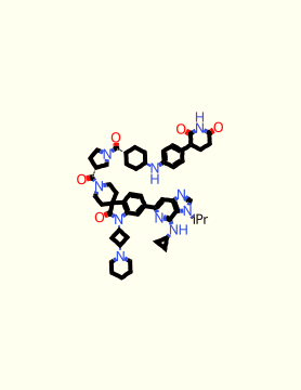 CC(C)n1cnc2cc(-c3ccc4c(c3)N([C@H]3C[C@@H](N5CCCCC5)C3)C(=O)C43CCN(C(=O)[C@@H]4CCN(C(=O)[C@H]5CC[C@H](Nc6ccc(C7CCC(=O)NC7=O)cc6)CC5)C4)CC3)nc(NC3CC3)c21